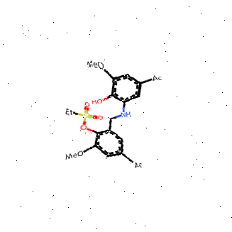 CCS(=O)(=O)Oc1c(CNc2cc(C(C)=O)cc(OC)c2O)cc(C(C)=O)cc1OC